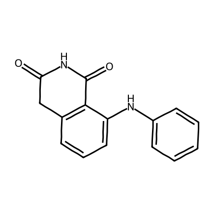 O=C1Cc2cccc(Nc3ccccc3)c2C(=O)N1